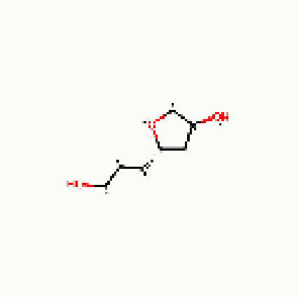 OCCC[C@H]1C[C@H](O)CO1